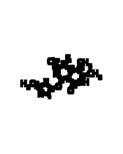 Cc1[nH]c(=O)c2c(Oc3cnn(C)c3)nc(Cl)c(F)c2c1C